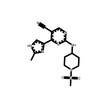 Cc1nc(-c2nc(NC3CCN(S(C)(=O)=O)CC3)ncc2C#N)c[nH]1